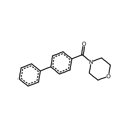 O=C(c1ccc(-c2cc[c]cc2)cc1)N1CCOCC1